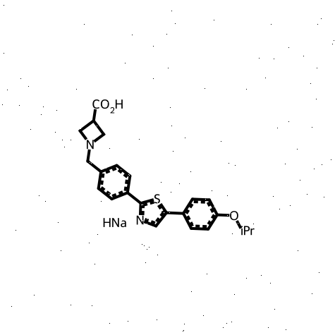 CC(C)Oc1ccc(-c2cnc(-c3ccc(CN4CC(C(=O)O)C4)cc3)s2)cc1.[NaH]